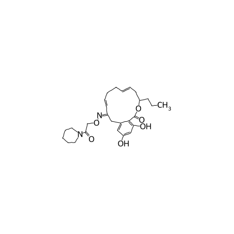 CCCC1C/C=C/CC/C=C/C(=NOCC(=O)N2CCCCC2)Cc2cc(O)cc(O)c2C(=O)O1